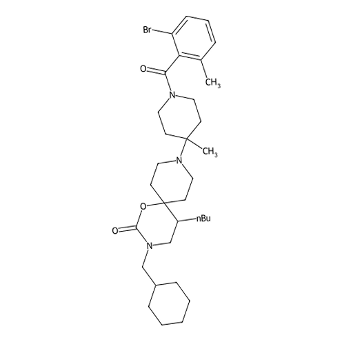 CCCCC1CN(CC2CCCCC2)C(=O)OC12CCN(C1(C)CCN(C(=O)c3c(C)cccc3Br)CC1)CC2